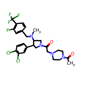 CC(=O)N1CCN(CC(=O)N2CC(c3ccc(Cl)c(Cl)c3)C(N(C)Cc3ccc(C(F)(F)F)c(F)c3)C2)CC1